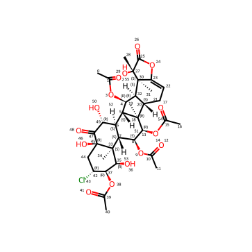 CC(=O)O[C@@H]1[C@H]2[C@H]3[C@H]([C@H](OC(C)=O)[C@H](OC(C)=O)[C@]2(C)[C@H]2CC=C4OC(=O)[C@@](C)(O)[C@]4(C)[C@H]12)[C@@]1(C)[C@@H](O)[C@@H](OC(C)=O)[C@H](Cl)C[C@]1(O)C(=O)[C@@H]3O